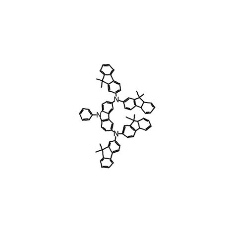 CC1(C)c2ccccc2-c2ccc(N(c3ccc4c(c3)C(C)(C)C3C=CC=CC43)c3ccc4c(c3)c3cc(N(c5ccc6c(c5)C(C)(C)c5ccccc5-6)c5ccc6c(c5)C(C)(C)C5C=CC=CC65)ccc3n4-c3ccccc3)cc21